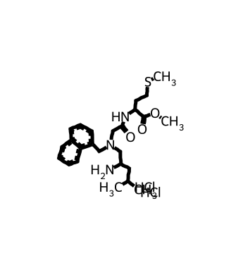 COC(=O)C(CCSC)NC(=O)CN(Cc1cccc2ccccc12)CC(N)CC(C)C.Cl.Cl